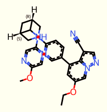 CCOc1cc(-c2ccc(N3C[C@H]4C[C@@H](C3)C4Nc3cnc(OC)cn3)nc2)c2c(C#N)cnn2c1